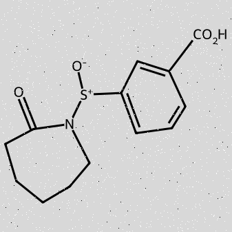 O=C(O)c1cccc([S+]([O-])N2CCCCCC2=O)c1